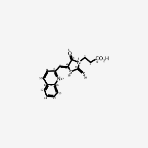 O=C(O)CCN1C(=O)C(=Cc2ccc3ccccc3n2)SC1=S